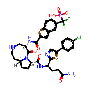 NC(=O)CCC(NC(=O)[C@@H]1CC[C@@H]2CCNC[C@H](NC(=O)c3cc4cc(C(F)(F)P(=O)(O)O)ccc4s3)C(=O)N21)c1ncc(-c2ccc(Cl)cc2)s1